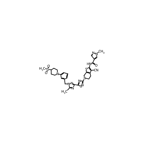 Cc1nc(-c2nc(N3CCc4c(sc(NC(=O)c5cnn(C)c5)c4C#N)C3)no2)nn1Cc1cccc(N2CCC(S(C)(=O)=O)CC2)c1